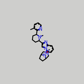 Cc1cccnc1C1CCCC(c2cn3c(N4C5CCC4CN(C)C5)cccc3n2)N1C